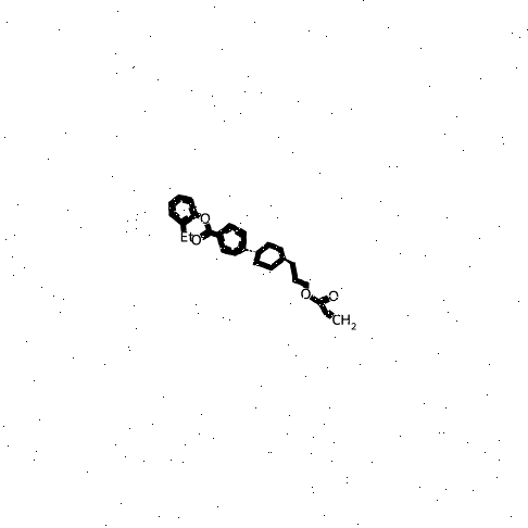 C=CC(=O)OCCC[C@H]1CC[C@H](c2ccc(C(=O)Oc3ccccc3CC)cc2)CC1